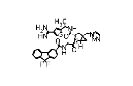 C[C@@H](NC(=O)[C@@H]1C[C@]2(Cn3ccnn3)C[C@@H]2N1C(=O)CNC(=O)c1ccc2c(c1)-c1ccccc1C2(F)F)c1cc(C(=N)N)cs1